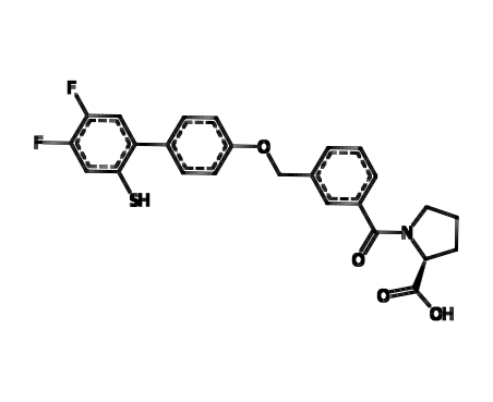 O=C(O)[C@@H]1CCCN1C(=O)c1cccc(COc2ccc(-c3cc(F)c(F)cc3S)cc2)c1